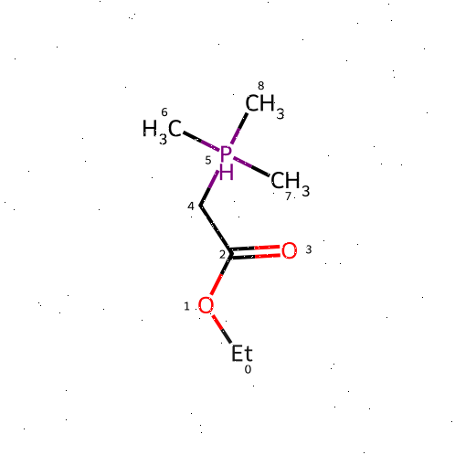 CCOC(=O)C[PH](C)(C)C